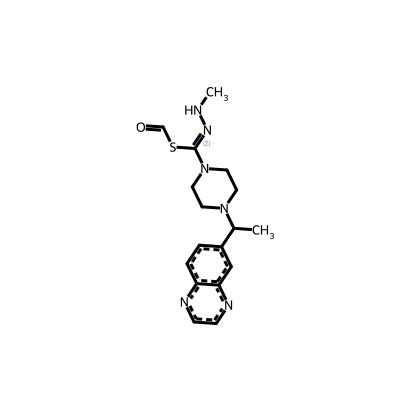 CN/N=C(\SC=O)N1CCN(C(C)c2ccc3nccnc3c2)CC1